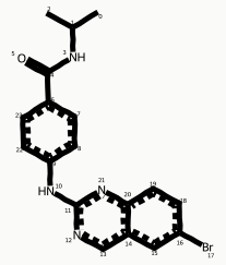 CC(C)NC(=O)c1ccc(Nc2ncc3cc(Br)ccc3n2)cc1